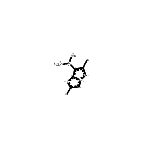 Cc1cn2nc(C)c(N(C(=O)O)C(C)(C)C)c2s1